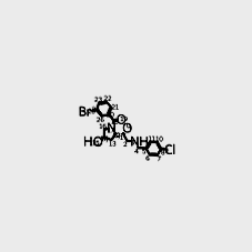 O=C(CNCc1ccc(Cl)cc1)[C@@H]1C[C@@H](O)CN1C(=O)c1cccc(Br)c1